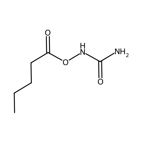 CCCCC(=O)ONC(N)=O